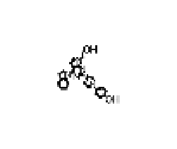 OCCn1ccc2c(N3CCc4ccccc43)nc(N3CCN(c4ccc(O)cc4)CC3)nc21